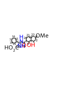 COc1ccc2c(O)c(C(=O)NC(NC(=O)O)c3ccccc3)ccc2c1